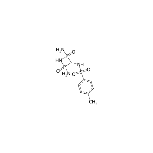 Cc1ccc(S(=O)(=O)NC2P(N)(=O)NP2(N)=O)cc1